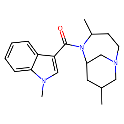 CC1CC2CN(CCC(C)N2C(=O)c2cn(C)c3ccccc23)C1